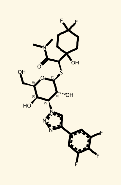 CN(C)C(=O)C(S[C@@H]1O[C@H](CO)[C@H](O)[C@H](n2cc(-c3cc(F)c(F)c(F)c3)nn2)[C@H]1O)C1(O)CCC(F)(F)CC1